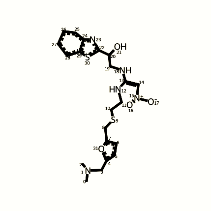 CN(C)Cc1ccc(CSCCNC(=C[N+](=O)[O-])NCC(O)c2nc3ccccc3s2)o1